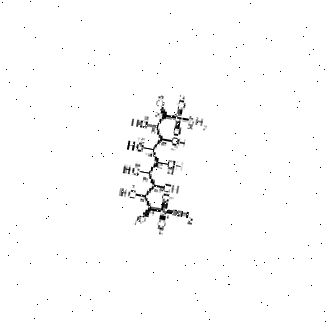 NS(=O)(=O)C(=O)C(O)C(O)C(O)C(O)C(O)C(O)C(O)C(=O)S(N)(=O)=O